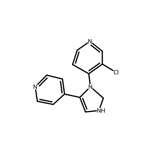 Clc1cnccc1N1CNC=C1c1ccncc1